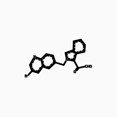 O=CC(=O)c1c2ccccc2cn1Cc1ccc2ncc(Br)cc2c1